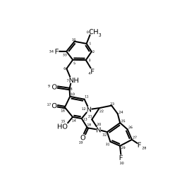 Cc1cc(F)c(CNC(=O)c2cn3c(c(O)c2=O)C(=O)N2CC3CCc3cc(F)c(F)cc32)c(F)c1